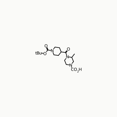 CC1CN(C(=O)O)CCN1C(=O)C1CCN(C(=O)OC(C)(C)C)CC1